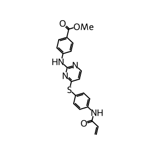 C=CC(=O)Nc1ccc(Sc2ccnc(Nc3ccc(C(=O)OC)cc3)n2)cc1